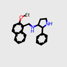 CCOc1ccc2ccccc2c1CNC1CCNC1c1ccccc1